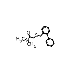 CN(C)C(=O)CSCc1ccccc1-c1ccccc1